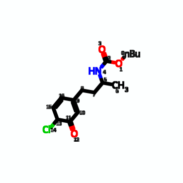 CCCCOC(=O)NC(C)CCC1=CC(=O)C(Cl)C=C1